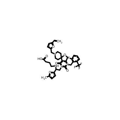 C=Cc1ccc(CN2CCC3(CC2)OCc2c3c(=O)n(CC(NCCCC(=O)O)c3ccc(C)o3)c(=O)n2Cc2c(F)cccc2C(F)(F)F)o1